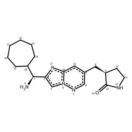 N[C@H](c1cn2ncc(C[C@H]3CCNC3=O)cc2n1)C1CCCCCC1